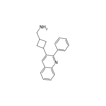 NCC1CC(c2cc3cc[c]cc3nc2-c2ccccc2)C1